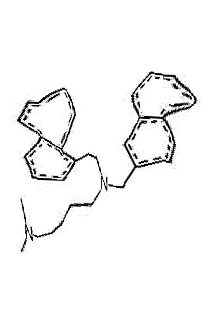 CN(C)CCCN(Cc1ccc2ccccc2c1)Cc1cccc2ccccc12